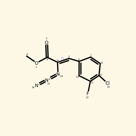 COC(=O)/C(=C/c1ccc(Cl)c(F)c1)N=[N+]=[N-]